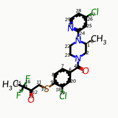 C[C@H]1CN(C(=O)c2ccc(SCC(=O)C(C)(F)F)c(Cl)c2)CCN1c1cc(Cl)ccn1